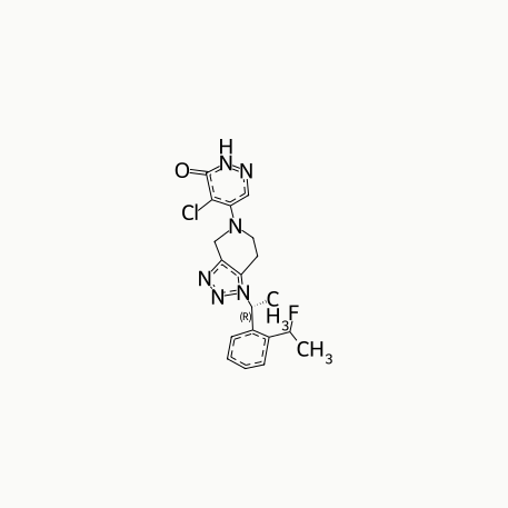 CC(F)c1ccccc1[C@@H](C)n1nnc2c1CCN(c1cn[nH]c(=O)c1Cl)C2